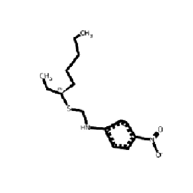 CCCCC[C@H](CC)SCNc1ccc([N+](=O)[O-])cc1